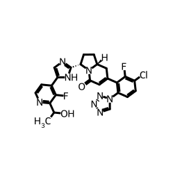 CC(O)c1nccc(-c2cnc([C@@H]3CC[C@@H]4CC(c5c(-n6cnnn6)ccc(Cl)c5F)=CC(=O)N43)[nH]2)c1F